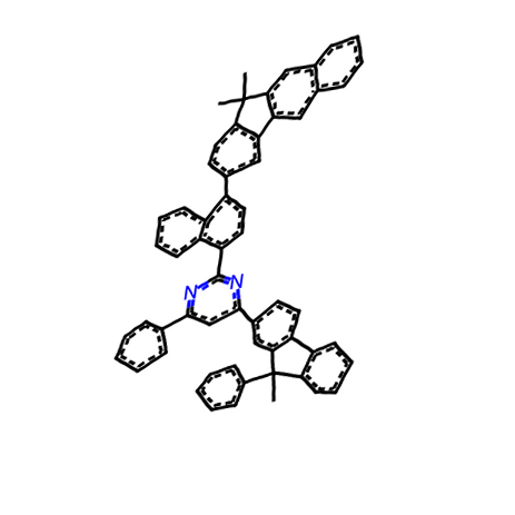 CC1(C)c2ccc(-c3ccc(-c4nc(-c5ccccc5)cc(-c5ccc6c(c5)C(C)(c5ccccc5)c5ccccc5-6)n4)c4ccccc34)cc2-c2cc3ccccc3cc21